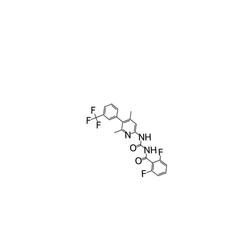 Cc1cc(NC(=O)NC(=O)c2c(F)cccc2F)nc(C)c1-c1cccc(C(F)(F)F)c1